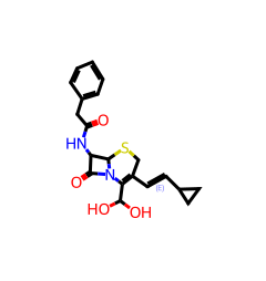 O=C(Cc1ccccc1)NC1C(=O)N2C(C(O)O)=C(/C=C/C3CC3)CSC12